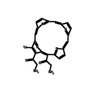 [2H]C1=C(C(=O)CN)C2=C(C(=O)CN)C3=NC(=CC4=NC(=CC5=NC(=CC1=N2)C=C5)C=C4)C=C3